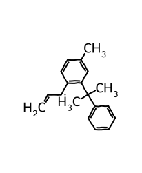 C=C[CH]c1ccc(C)cc1C(C)(C)c1ccccc1